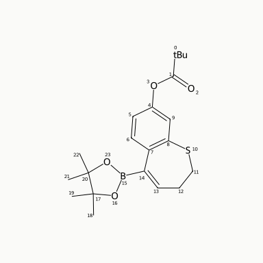 CC(C)(C)C(=O)Oc1ccc2c(c1)SCCC=C2B1OC(C)(C)C(C)(C)O1